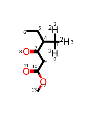 [2H]C([2H])([2H])C(CC)C(=O)CC(=O)OC